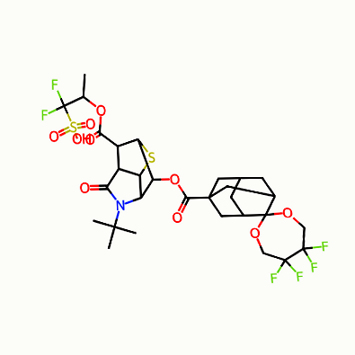 CC(OC(=O)C1C2SC3C1C(=O)N(C(C)(C)C)C3C2OC(=O)C12CC3CC(C1)C1(OCC(F)(F)C(F)(F)CO1)C(C3)C2)C(F)(F)S(=O)(=O)O